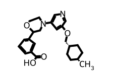 C[C@H]1CC[C@H](COc2cncc(N3CCOC(c4cccc(C(=O)O)c4)C3)c2)CC1